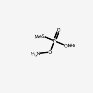 COP(=O)(ON)SC